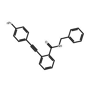 CCCc1ccc(C#Cc2ccccc2C(=O)NCc2ccccc2)cc1